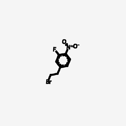 O=[N+]([O-])c1ccc(CCBr)cc1F